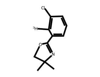 [3H]c1c(Cl)cccc1C1=NC(C)(C)CO1